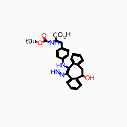 CC(C)(C)OC(=O)NC(Cc1ccc(N/C2=C(\N=N)c3ccccc3C(O)Cc3ccccc32)cc1)C(=O)O